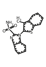 Cc1c(-n2c(S(N)(=O)=O)nc3ccccc32)sc2ccccc12